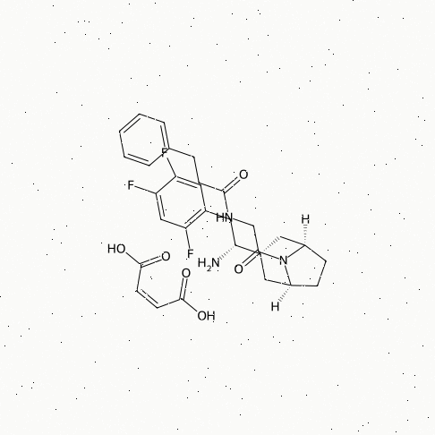 N[C@H](Cc1cc(F)c(F)cc1F)[C@@H]1C[C@H]2CC[C@@H](C1)N2C(=O)CNC(=O)CCc1ccccc1.O=C(O)/C=C\C(=O)O